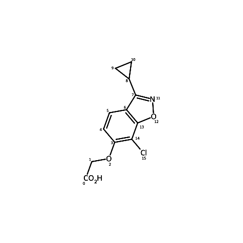 O=C(O)COc1ccc2c(C3CC3)noc2c1Cl